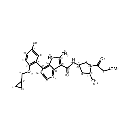 COCC(=O)N1C[C@H](NC(=O)c2c(C)[nH]c3c(-c4cc(F)ccc4OCC4CC4)ncnc23)C[C@@H]1C